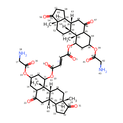 C[C@]12C(OC(=O)/C=C/C(=O)OC3CC(OC(=O)CN)CC4C(=O)C[C@@H]5[C@@H](CC[C@]6(C)C(=O)CC[C@@H]56)[C@@]34C)CC(OC(=O)CN)CC1C(=O)C[C@@H]1[C@H]2CC[C@]2(C)C(=O)CC[C@@H]12